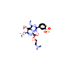 C/N=C(\N=C(/I)c1cccc(S(C)(=O)=O)c1)C(/NCC(=O)OCCN(C)C)=C(\Br)C(=N)C(F)(F)F